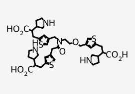 O=C(O)C(Cc1cc(COCCN(Cc2csc(CC(C(=O)O)C3CCNC3)c2)C(=O)Cc2csc(CC(C(=O)O)C3CCNC3)c2)cs1)C1CCNC1